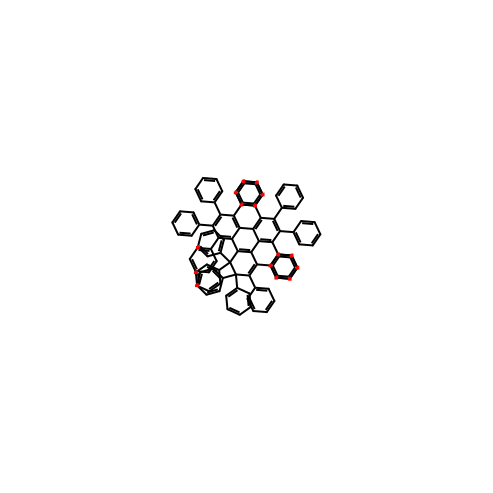 c1ccc(C2=C(c3ccccc3)C(c3ccccc3)(c3ccccc3)C(c3ccccc3)(c3ccccc3)c3c2c2c(-c4ccccc4)c(-c4ccccc4)c(-c4ccccc4)c(-c4ccccc4)c2c2c(-c4ccccc4)c(-c4ccccc4)c(-c4ccccc4)c(-c4ccccc4)c32)cc1